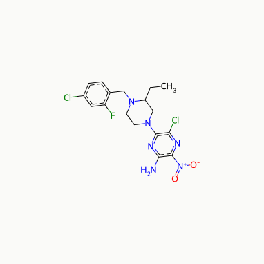 CCC1CN(c2nc(N)c([N+](=O)[O-])nc2Cl)CCN1Cc1ccc(Cl)cc1F